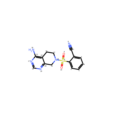 N#Cc1ccccc1S(=O)(=O)N1CCc2c(N)ncnc2C1